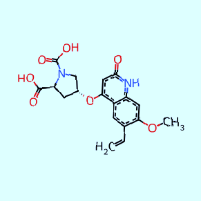 C=Cc1cc2c(O[C@@H]3C[C@@H](C(=O)O)N(C(=O)O)C3)cc(=O)[nH]c2cc1OC